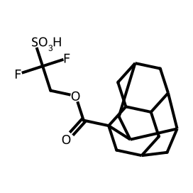 O=C(OCC(F)(F)S(=O)(=O)O)C12CC3CC4C5CC(CC41)CC2C5C3